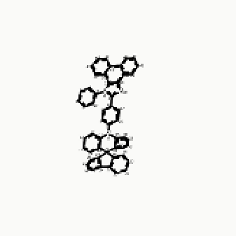 c1ccc(-n2c(-c3ccc(N4c5ccccc5C5(c6ccccc6-c6ccccc65)c5ccccc54)cc3)nc3c4ccccc4c4ccccc4c32)cc1